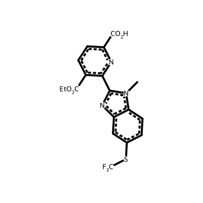 CCOC(=O)c1ccc(C(=O)O)nc1-c1nc2cc(SC(F)(F)F)ccc2n1C